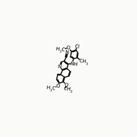 COc1cc(Nc2c(C#N)cnc3c2ccc2c(OC)c(OC)ccc23)c(C)cc1Cl